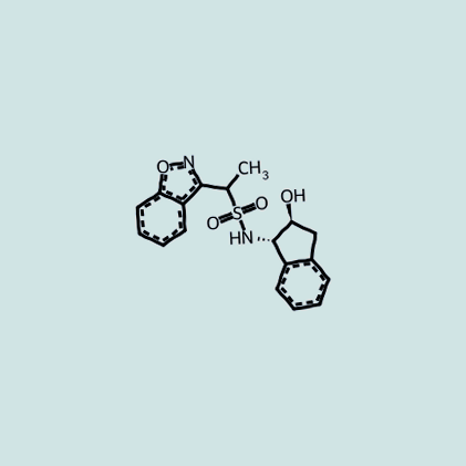 CC(c1noc2ccccc12)S(=O)(=O)N[C@H]1c2ccccc2C[C@@H]1O